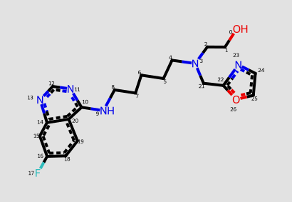 OCCN(CCCCCNc1ncnc2cc(F)ccc12)Cc1ncco1